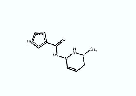 CN1CC=CN(NC(=O)c2c[nH]cn2)N1